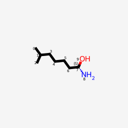 CC(C)CCCC[C@@H](N)O